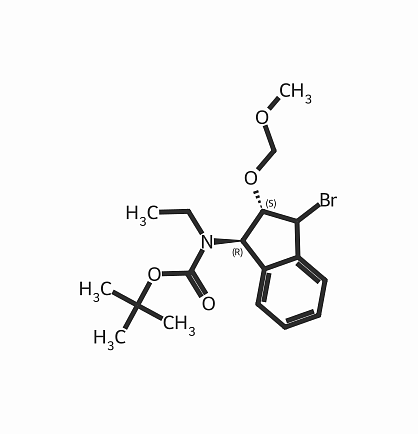 CCN(C(=O)OC(C)(C)C)[C@@H]1c2ccccc2C(Br)[C@H]1OCOC